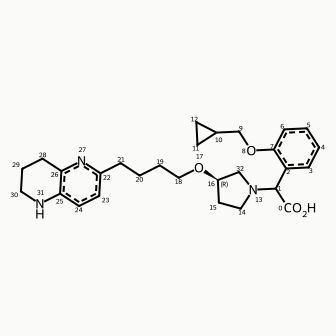 O=C(O)C(c1ccccc1OCC1CC1)N1CC[C@@H](OCCCCc2ccc3c(n2)CCCN3)C1